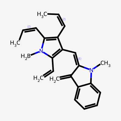 Bn1c(C=C)c(/C=c2\c(=C)c3ccccc3n2C)c(/C=C\C)c1/C=C\C